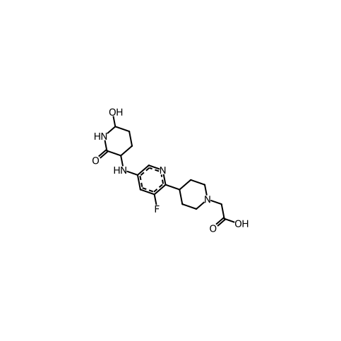 O=C(O)CN1CCC(c2ncc(NC3CCC(O)NC3=O)cc2F)CC1